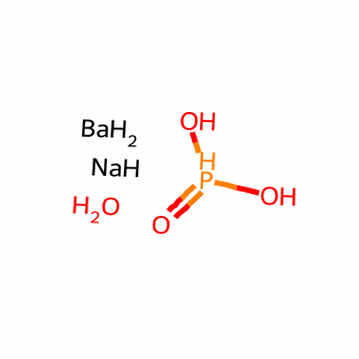 O.O=[PH](O)O.[BaH2].[NaH]